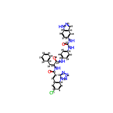 O=C(C=Cc1cc(Cl)ccc1-n1cnnn1)N[C@@H](Cc1ccccc1)C(=O)Nc1ccc(NC(=O)Nc2ccc3[nH]ncc3c2)cc1